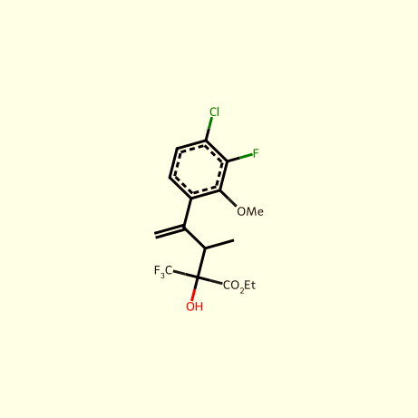 C=C(c1ccc(Cl)c(F)c1OC)C(C)C(O)(C(=O)OCC)C(F)(F)F